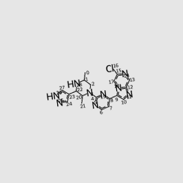 CC1CN(c2nccc(-c3cnc4cnc(Cl)cn34)n2)C(C)C(c2cn[nH]c2)N1